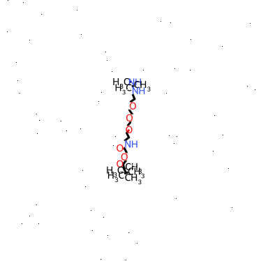 CNC(C)(C)NCCCOCCOCCOCCCNC(=O)COCC(=O)C(C)(C)C(C)(C)C